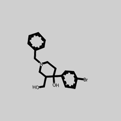 OCC1CN(Cc2ccccc2)CCC1(O)c1ccc(Br)cc1